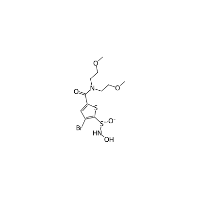 COCCN(CCOC)C(=O)c1cc(Br)c([S+]([O-])NO)s1